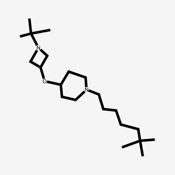 CC(C)(C)CCCCCN1CCC(OC2CN(C(C)(C)C)C2)CC1